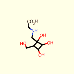 O=C(O)CNCC1(O)C(O)C(O)C1CO